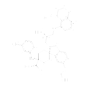 CCOc1ccc2c(c1)C1(CCC(Nc3cccc(Cl)c3)(C(=O)O)CC1)C(C[C@@H](C)COc1ccnc3c1[C@H](C)CCC3)C2